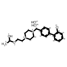 CC(O)OCCN1CCN(Cc2ccc(-c3ccccc3Cl)cc2)CC1.Cl.Cl